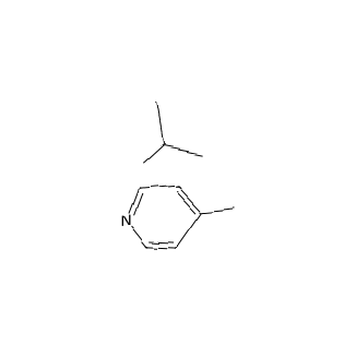 CC(C)C.Cc1ccncc1